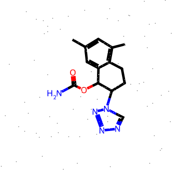 Cc1cc(C)c2c(c1)C(OC(N)=O)C(n1cnnn1)CC2